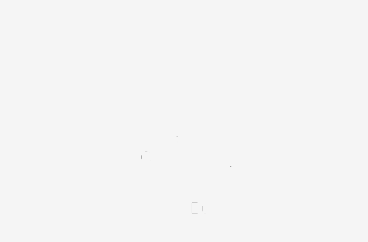 CCC(C)(C)C(=O)C=C1CCC1